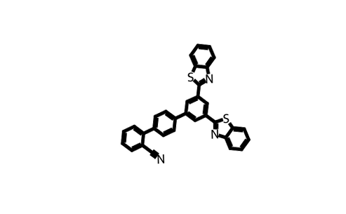 N#Cc1ccccc1-c1ccc(-c2cc(-c3nc4ccccc4s3)cc(-c3nc4ccccc4s3)c2)cc1